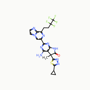 CC1(c2nnc(C3CC3)s2)C(=O)Nc2nc(-c3cn4ccnc4c(CCC(F)(F)C(F)(F)F)n3)nc(N)c21